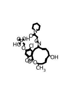 C[C@@H]1C/C=C/[C@H](O)C/C=C/C(=N/OCC(=O)N2CCCCC2)Cc2c(Cl)c(OCP(=O)(O)O)cc(O)c2C(=O)O1